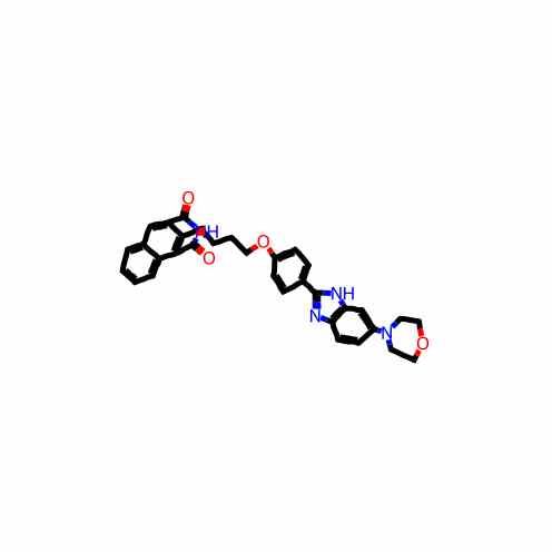 O=C1NC(=O)c2c(CCCCOc3ccc(-c4nc5ccc(N6CCOCC6)cc5[nH]4)cc3)c1cc1ccccc21